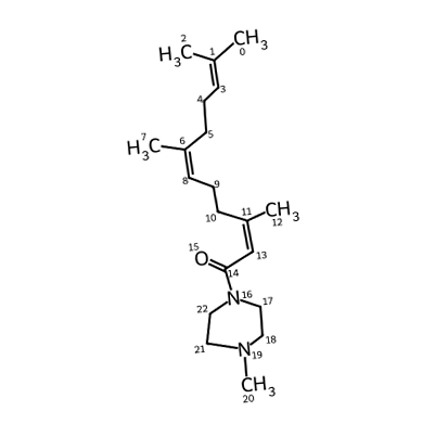 CC(C)=CCCC(C)=CCCC(C)=CC(=O)N1CCN(C)CC1